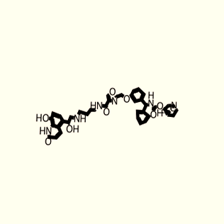 O=C(NC(c1ccccc1)c1cccc(OCc2nc(C(=O)NCCCCNC[C@@H](O)c3ccc(O)c4[nH]c(=O)ccc34)co2)c1)O[C@H]1CN2CCC1CC2